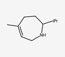 CC1=CCNC(C(C)C)CC1